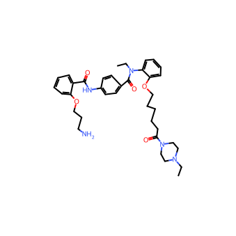 CCN1CCN(C(=O)CCCCCOc2ccccc2N(CC)C(=O)c2ccc(NC(=O)c3ccccc3OCCCN)cc2)CC1